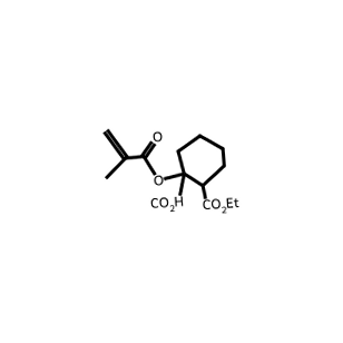 C=C(C)C(=O)OC1(C(=O)O)CCCCC1C(=O)OCC